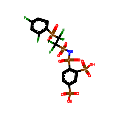 O=S(=O)(O)c1ccc(S(=O)(=O)NS(=O)(=O)C(F)(F)C(F)(F)S(=O)(=O)c2ccc(F)cc2F)c(S(=O)(=O)O)c1